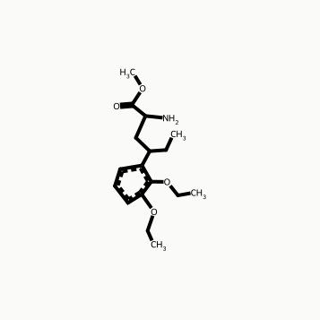 CCOc1cccc(C(CC)CC(N)C(=O)OC)c1OCC